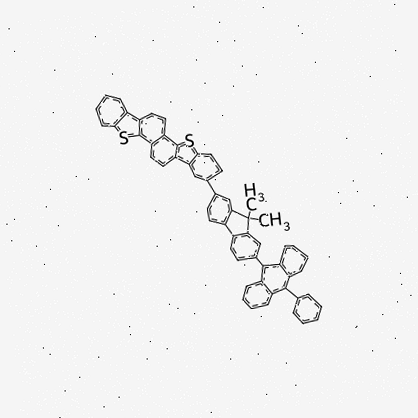 CC1(C)c2cc(-c3ccc4sc5c(ccc6c5ccc5c7ccccc7sc56)c4c3)ccc2-c2ccc(-c3c4ccccc4c(-c4ccccc4)c4ccccc34)cc21